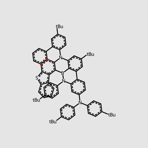 CC(C)(C)c1ccc(N2B3c4c(cc(C(C)(C)C)cc4N(c4ccc(C(C)(C)C)cc4-c4ccccc4)c4ccc5sc6ccccc6c5c43)-c3ccc(N(c4ccc(C(C)(C)C)cc4)c4ccc(C(C)(C)C)cc4)cc32)cc1